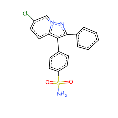 NS(=O)(=O)c1ccc(-c2c(-c3ccccc3)nn3cc(Cl)ccc23)cc1